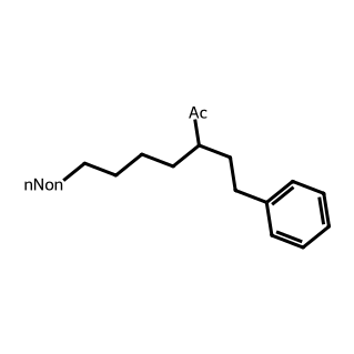 CCCCCCCCCCCCCC(CCc1ccccc1)C(C)=O